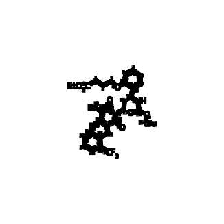 CCOC(=O)CCCOc1ccccc1[C@H](CCn1c(=O)c(Br)c(C)n(Cc2c(F)cccc2C(F)(F)F)c1=O)NC(=O)OC(C)(C)C